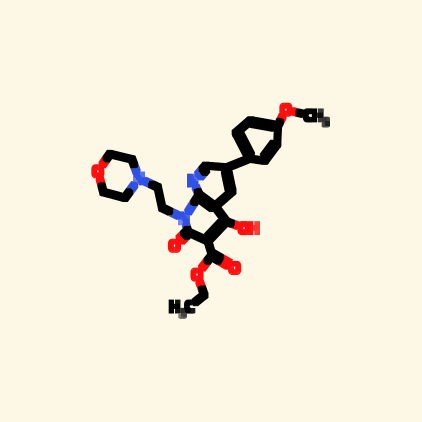 CCOC(=O)c1c(O)c2cc(-c3ccc(OC)cc3)cnc2n(CCN2CCOCC2)c1=O